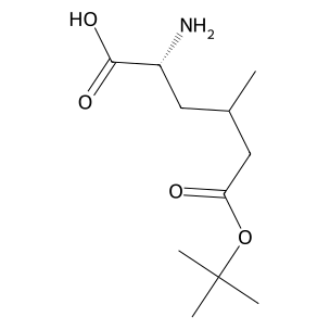 CC(CC(=O)OC(C)(C)C)C[C@@H](N)C(=O)O